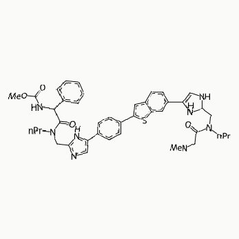 CCCN(CC1NC=C(c2ccc3cc(-c4ccc(-c5cnc(CN(CCC)C(=O)C(NC(=O)OC)c6ccccc6)[nH]5)cc4)sc3c2)N1)C(=O)CNC